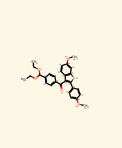 CCOC(OCC)c1ccc(C(=O)c2c(-c3ccc(OC)cc3)sc3cc(OC)ccc23)cc1